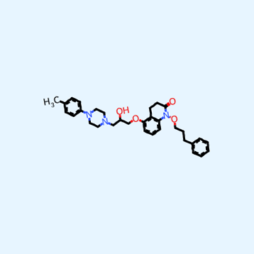 Cc1ccc(N2CCN(CC(O)COc3cccc4c3CCC(=O)N4OCCCc3ccccc3)CC2)cc1